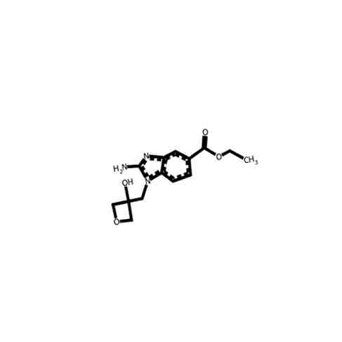 CCOC(=O)c1ccc2c(c1)nc(N)n2CC1(O)COC1